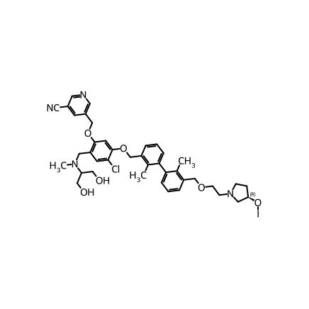 Cc1c(COCCN2CC[C@@H](OI)C2)cccc1-c1cccc(COc2cc(OCc3cncc(C#N)c3)c(CN(C)C(CO)CO)cc2Cl)c1C